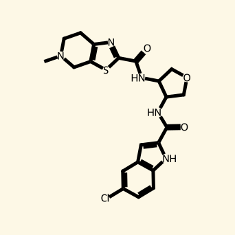 CN1CCc2nc(C(=O)NC3COCC3NC(=O)c3cc4cc(Cl)ccc4[nH]3)sc2C1